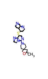 C[C@H]1CC2(CCN(c3ncc(Sc4ccnc5cnccc45)c4nccn34)CC2)CO1